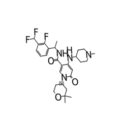 CC(NC(=O)c1cn([C@H]2CCOC(C)(C)C2)c(=O)cc1NC1CCN(C)CC1)c1cccc(C(F)F)c1F